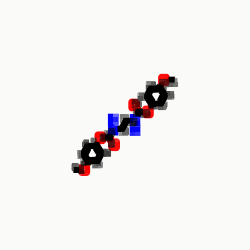 COc1ccc(OC(=O)NCCNC(=O)Oc2ccc(OC)cc2)cc1